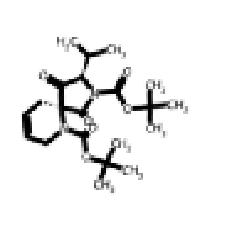 CC(C)[C@@H]1C(=O)[C@@]2(CC=CCN2C(=O)OC(C)(C)C)C(=O)N1C(=O)OC(C)(C)C